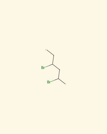 [CH2]CC(Br)CC(C)Br